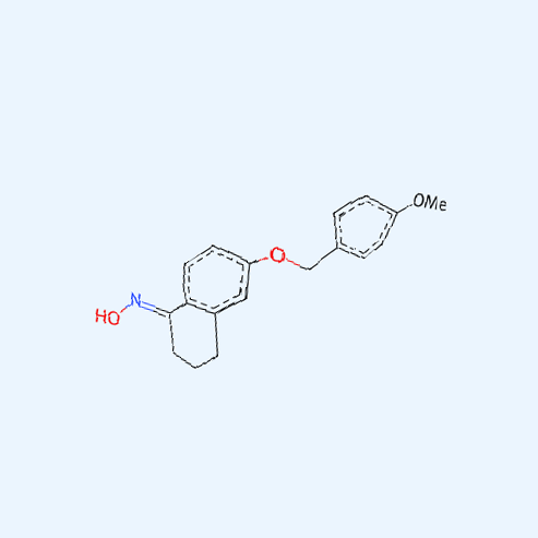 COc1ccc(COc2ccc3c(c2)CCCC3=NO)cc1